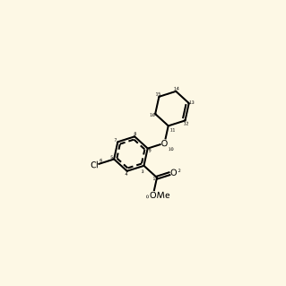 COC(=O)c1cc(Cl)ccc1OC1C=CCCC1